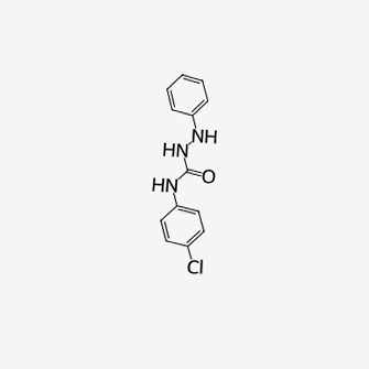 O=C(NNc1ccccc1)Nc1ccc(Cl)cc1